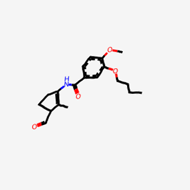 CCCCOc1cc(C(=O)NC2=C(C)C(C=O)CC2)ccc1OC